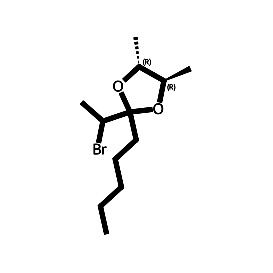 CCCCCC1(C(C)Br)O[C@H](C)[C@@H](C)O1